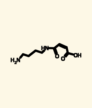 NCCCCNC(=O)/C=C\C(=O)O